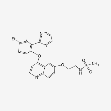 CCc1ccc(Oc2ccnc3ccc(OCCNS(C)(=O)=O)cc23)c(-c2ncccn2)n1